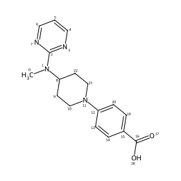 CN(c1ncccn1)C1CCN(c2ccc(C(=O)O)cc2)CC1